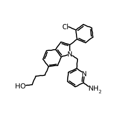 Nc1cccc(Cn2c(-c3ccccc3Cl)cc3ccc(CCCO)cc32)n1